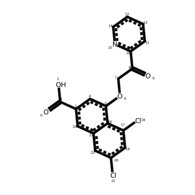 O=C(O)c1cc(OCC(=O)c2ccccn2)c2c(Cl)cc(Cl)cc2c1